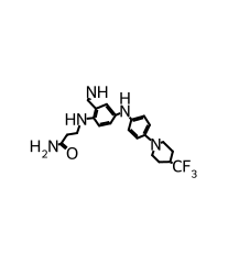 N=Cc1cc(Nc2ccc(N3CCC(C(F)(F)F)CC3)cc2)ccc1NCCC(N)=O